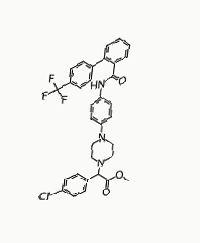 COC(=O)C(c1ccc(Cl)cc1)N1CCN(c2ccc(NC(=O)c3ccccc3-c3ccc(C(F)(F)F)cc3)cc2)CC1